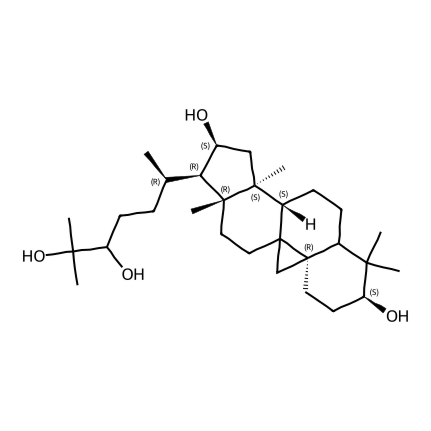 C[C@H](CCC(O)C(C)(C)O)[C@H]1[C@@H](O)C[C@@]2(C)[C@@H]3CCC4C(C)(C)[C@@H](O)CC[C@@]45CC35CC[C@]12C